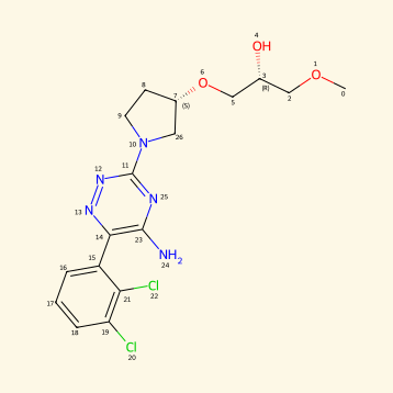 COC[C@@H](O)CO[C@H]1CCN(c2nnc(-c3cccc(Cl)c3Cl)c(N)n2)C1